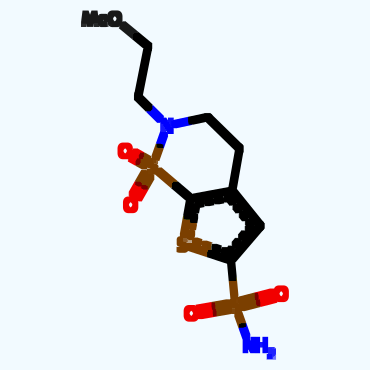 COCCN1CCc2cc(S(N)(=O)=O)sc2S1(=O)=O